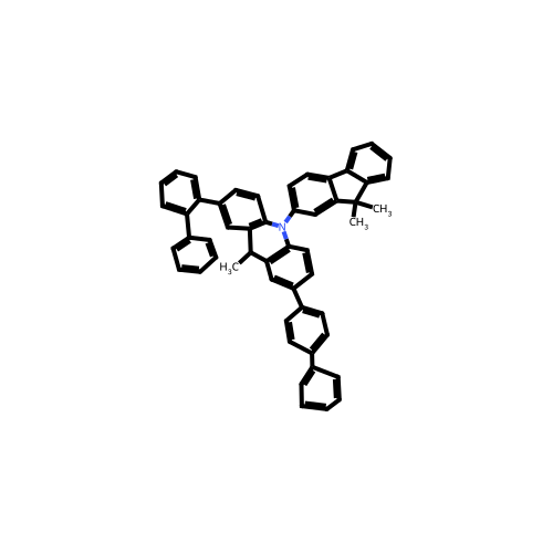 CC1c2cc(-c3ccc(-c4ccccc4)cc3)ccc2N(c2ccc3c(c2)C(C)(C)c2ccccc2-3)c2ccc(-c3ccccc3-c3ccccc3)cc21